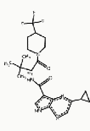 CC(C)(C)[C@@H](NC(=O)c1c[nH]c2ncc(C3CC3)nc12)C(=O)N1CCC(C(F)(F)F)CC1